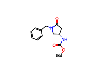 CC(C)(C)OC(=O)N[C@H]1CC(=O)N(Cc2ccccc2)C1